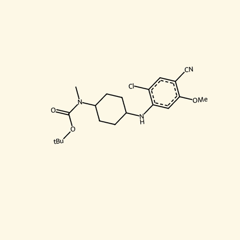 COc1cc(NC2CCC(N(C)C(=O)OC(C)(C)C)CC2)c(Cl)cc1C#N